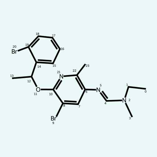 CCN(C)/C=N/c1cc(Br)c(OC(C)c2ccccc2Br)nc1C